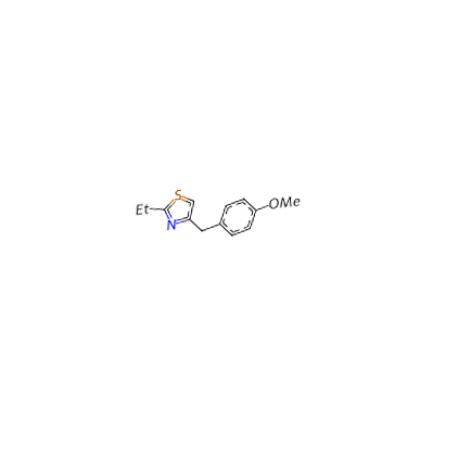 CCc1nc(Cc2ccc(OC)cc2)cs1